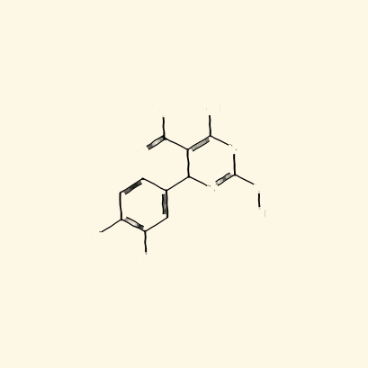 CSC1=NC(c2ccc(Cl)c(Cl)c2)C(C(=O)O)=C(C)N1